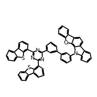 c1cc(-c2cccc(-n3c4ccccc4c4ccc5c6ccccc6oc5c43)c2)cc(-c2nc(-c3cccc4c3sc3ccccc34)nc(-c3cccc4c3sc3ccccc34)n2)c1